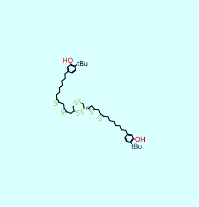 CC(C)(C)c1ccc(CCCCCCCC2SC2CC2C[C@@H](C3CSSCC(CC4SC4CC4SC4CCCCCCCc4ccc(C(C)(C)C)c(O)c4)SS3)S2)cc1O